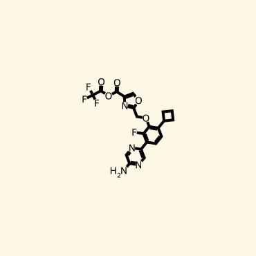 Nc1cnc(-c2ccc(C3CCC3)c(OCc3nc(C(=O)OC(=O)C(F)(F)F)co3)c2F)cn1